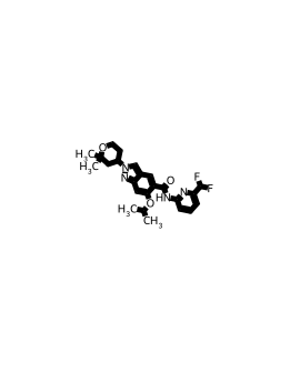 CC(C)Oc1cc2nn(C3CCOC(C)(C)C3)cc2cc1C(=O)Nc1cccc(C(F)F)n1